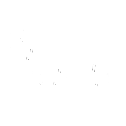 COC(=O)c1c(-c2cnn(CC34CC5CC(CC(C5)C3)C4)c2C)ccn2c(-c3ccc(Nc4nc5ccccc5s4)cc3)cnc12